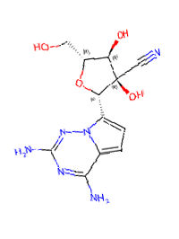 N#C[C@@]1(O)[C@H](O)[C@@H](CO)O[C@H]1c1ccc2c(N)nc(N)nn12